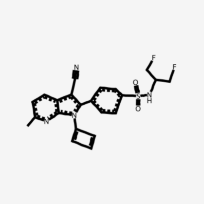 Cc1ccc2c(C#N)c(-c3ccc(S(=O)(=O)NC(CF)CF)cc3)n(C3=CC=C3)c2n1